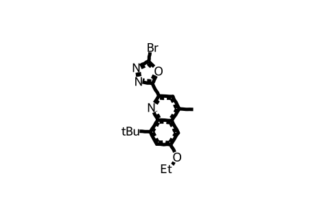 CCOc1cc(C(C)(C)C)c2nc(-c3nnc(Br)o3)cc(C)c2c1